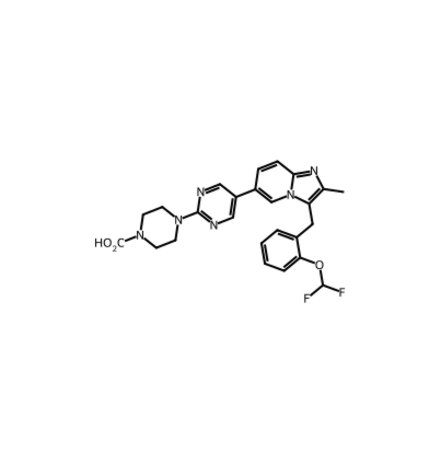 Cc1nc2ccc(-c3cnc(N4CCN(C(=O)O)CC4)nc3)cn2c1Cc1ccccc1OC(F)F